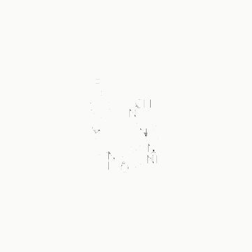 CN1Cc2cc(F)ccc2OCCNC(=O)C2=C3N=C1C=CN3NC2